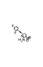 NC1=NC(C#Cc2ccc(F)cc2F)CC=C1[N+](=O)[O-]